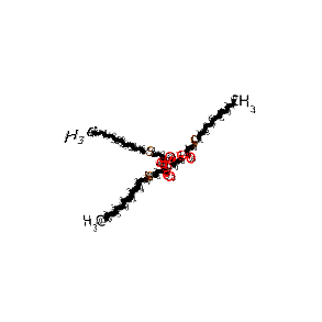 CCCCCCCCCCCCSCCC(=O)OCC(COC(=O)CCSCCCCCCCCCCCC)OC(=O)CCSCCCCCCCCCCCC